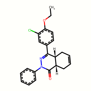 CCOc1ccc(C2=NN(c3ccccc3)C(=O)[C@H]3CC=CC[C@@H]23)cc1Cl